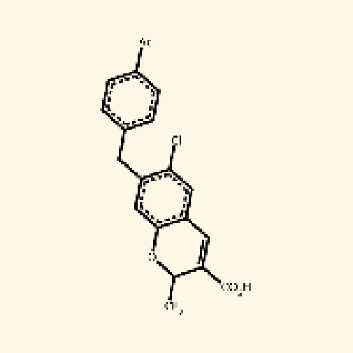 CC(=O)c1ccc(Cc2cc3c(cc2Cl)C=C(C(=O)O)C(C(F)(F)F)O3)cc1